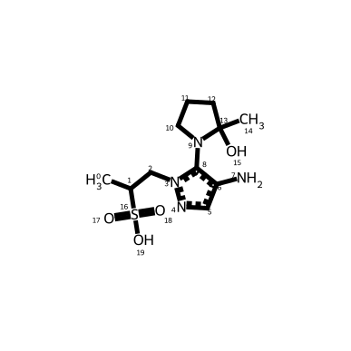 CC(Cn1ncc(N)c1N1CCCC1(C)O)S(=O)(=O)O